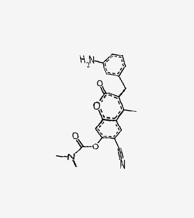 Cc1c(Cc2cccc(N)c2)c(=O)oc2cc(OC(=O)N(C)C)c(C#N)cc12